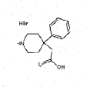 Br.O=C(O)CC1(c2ccccc2)CCNCC1